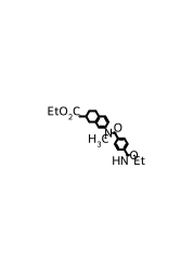 CCOC(=N)c1ccc(C(=O)N(C)c2ccc3c(c2)CC(CC(=O)OCC)CC3)cc1